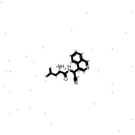 CC(C)C[C@H](N)C(=O)NC(C#N)c1cncc2ccccc12